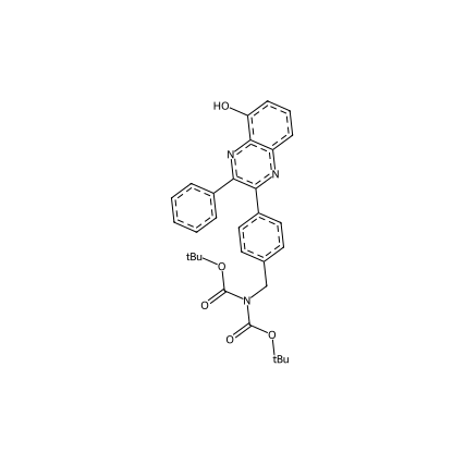 CC(C)(C)OC(=O)N(Cc1ccc(-c2nc3cccc(O)c3nc2-c2ccccc2)cc1)C(=O)OC(C)(C)C